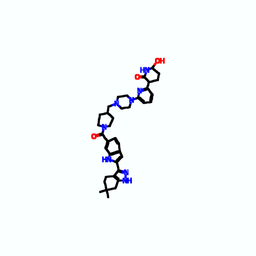 CC1(C)CCc2c(-c3cc4ccc(C(=O)N5CCC(CN6CCN(c7cccc(C8CCC(O)NC8=O)n7)CC6)CC5)cc4[nH]3)n[nH]c2C1